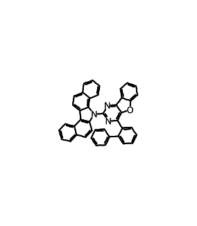 c1ccc(-c2ccccc2-c2nc(-n3c4ccc5ccccc5c4c4ccc5ccccc5c43)nc3c2oc2ccccc23)cc1